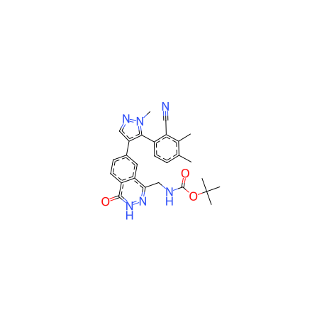 Cc1ccc(-c2c(-c3ccc4c(=O)[nH]nc(CNC(=O)OC(C)(C)C)c4c3)cnn2C)c(C#N)c1C